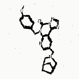 COc1ccc(Cn2c(=O)n3ncnc3c3cc(CN4CC5CCC(C5)C4)cnc32)cc1